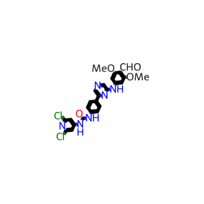 COc1cc(Nc2cncc(-c3ccc(NC(=O)Nc4cc(Cl)nc(Cl)c4)cc3)n2)cc(OC)c1C=O